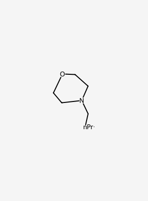 CC[CH]CN1CCOCC1